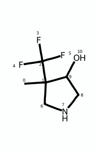 CC1(C(F)(F)F)CNCC1O